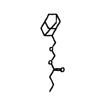 CCCC(=O)OCOCC1C2CC3CC(C2)CC1C3